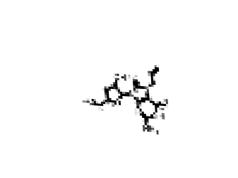 C=CCn1c(=O)n(C2OC(CO)CC2O)c2nc(N)[nH]c(=O)c21